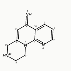 N=c1cc2n(c3ncccc13)CCNC2